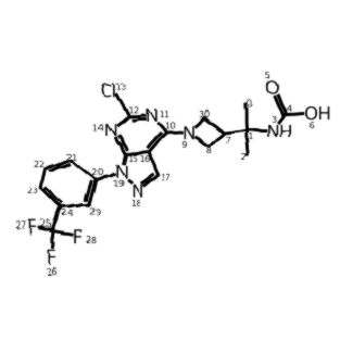 CC(C)(NC(=O)O)C1CN(c2nc(Cl)nc3c2cnn3-c2cccc(C(F)(F)F)c2)C1